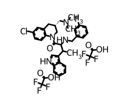 CC(c1c[nH]c2ccccc12)C(NCc1cccc(F)c1)C(=O)N1C[C@@H](CN(C)C)Cc2cc(Cl)ccc21.O=C(O)C(F)(F)F.O=C(O)C(F)(F)F